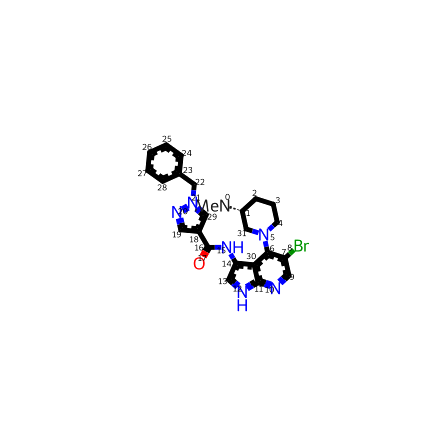 CN[C@@H]1CCCN(c2c(Br)cnc3[nH]cc(NC(=O)c4cnn(Cc5ccccc5)c4)c23)C1